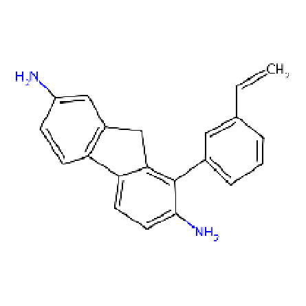 C=Cc1cccc(-c2c(N)ccc3c2Cc2cc(N)ccc2-3)c1